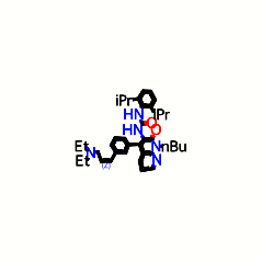 CCCCn1c(=O)c(NC(=O)Nc2c(C(C)C)cccc2C(C)C)c(-c2cccc(/C=C\CN(CC)CC)c2)c2cccnc21